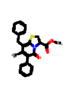 COC(=O)C1CSc2c(Cc3ccccc3)c(C)c(-c3ccccc3)c(=O)n21